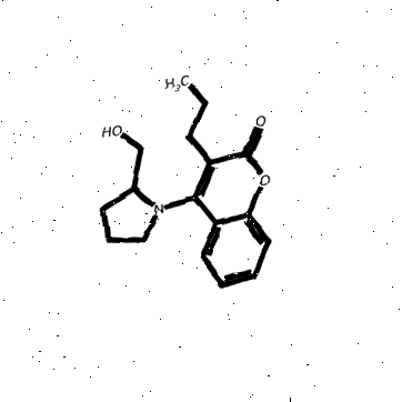 CCCc1c(N2CCCC2CO)c2ccccc2oc1=O